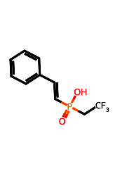 O=P(O)(C=Cc1ccccc1)CC(F)(F)F